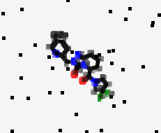 COc1ccc(Cn2nc3n(c2=O)C(C(=O)N2CCC(F)(F)C2)CCC3)nc1